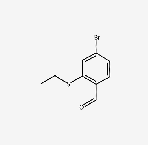 CCSc1cc(Br)ccc1C=O